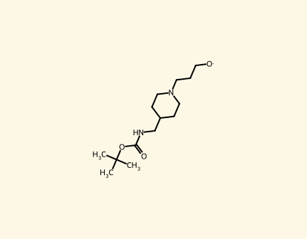 CC(C)(C)OC(=O)NCC1CCN(CCC[O])CC1